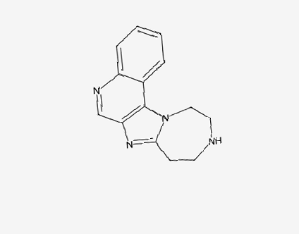 c1ccc2c(c1)ncc1nc3n(c12)CCNCC3